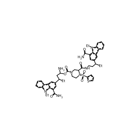 CCC(CCNC(=O)C1CN(C(=O)OC(N)CC(CC)c2cc(C(N)=O)c3c(c2)c2ccccc2n3CC)CCN1S(=O)(=O)c1cccs1)c1cc(C(N)=O)c2c(c1)c1ccccc1n2CC